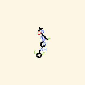 CC1(C)COC(c2cc(CF)n(-c3ccc(NCc4c(F)cccc4F)cn3)n2)=N1